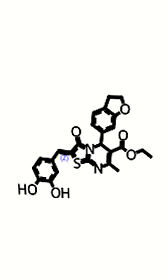 CCOC(=O)C1=C(C)N=c2s/c(=C\c3ccc(O)c(O)c3)c(=O)n2C1c1ccc2c(c1)OCC2